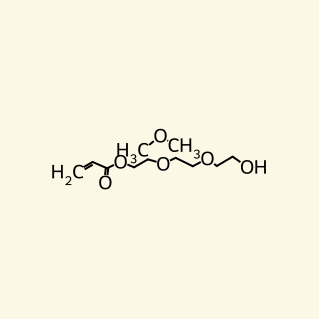 C=CC(=O)OCCOCCOCCO.COC